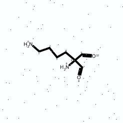 NCCCCC(N)(C=O)C=O